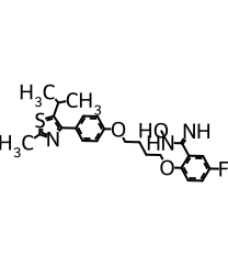 Cc1nc(-c2ccc(OCCCCOc3ccc(F)cc3C(=N)NO)cc2)c(C(C)C)s1